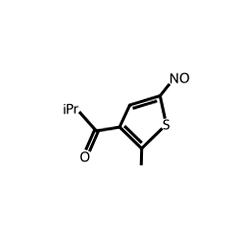 Cc1sc(N=O)cc1C(=O)C(C)C